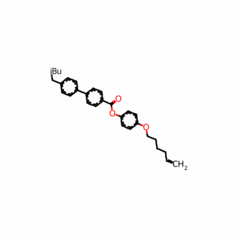 C=CCCCCOc1ccc(OC(=O)c2ccc(-c3ccc(CC(C)CC)cc3)cc2)cc1